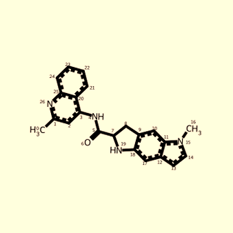 Cc1cc(NC(=O)C2Cc3cc4c(ccn4C)cc3N2)c2ccccc2n1